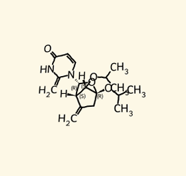 C=C1C[C@@]2(OC(C)C)O[C@@H](N3C=CC(=O)NC3=C)[C@@H]1[C@@H]2OC(C)C